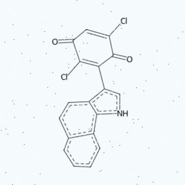 O=C1C=C(Cl)C(=O)C(c2c[nH]c3c2ccc2ccccc23)=C1Cl